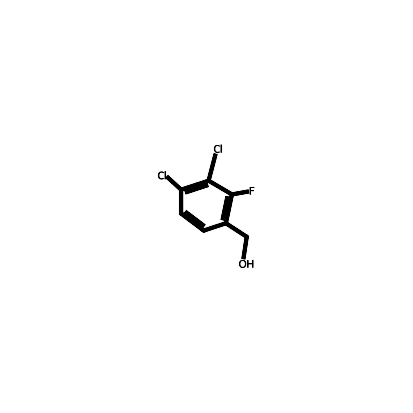 OCc1ccc(Cl)c(Cl)c1F